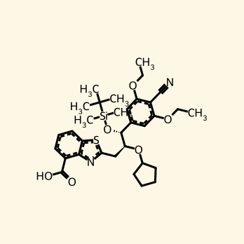 CCOc1cc([C@@H](O[Si](C)(C)C(C)(C)C)[C@H](Cc2nc3c(C(=O)O)cccc3s2)OC2CCCC2)cc(OCC)c1C#N